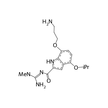 CNC(N)=NC(=O)c1cc2c(OC(C)C)ccc(OCCCN)c2[nH]1